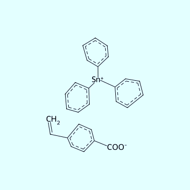 C=Cc1ccc(C(=O)[O-])cc1.c1cc[c]([Sn+]([c]2ccccc2)[c]2ccccc2)cc1